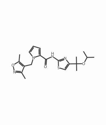 Cc1noc(C)c1Cn1cccc1C(=O)Nc1nc(C(C)(C)OC(C)C)cs1